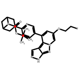 CC(C)(C)OC(=O)N1C2CC1CN(c1ccc(-c3cc(OCCF)cn4nc5[nH]ncc5c34)cn1)C2